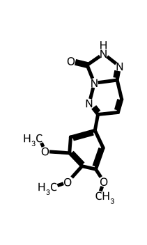 COc1cc(-c2ccc3n[nH]c(=O)n3n2)cc(OC)c1OC